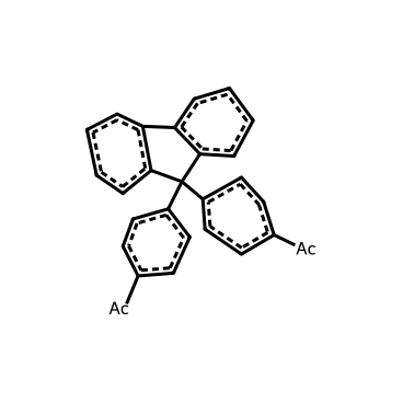 CC(=O)c1ccc(C2(c3ccc(C(C)=O)cc3)c3ccccc3-c3ccccc32)cc1